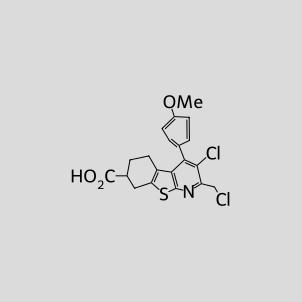 COc1ccc(-c2c(Cl)c(CCl)nc3sc4c(c23)CCC(C(=O)O)C4)cc1